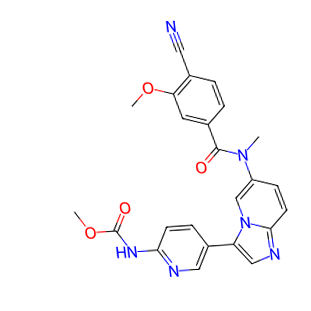 COC(=O)Nc1ccc(-c2cnc3ccc(N(C)C(=O)c4ccc(C#N)c(OC)c4)cn23)cn1